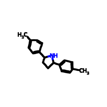 Cc1ccc(C2CCC(c3ccc(C)cc3)N2)cc1